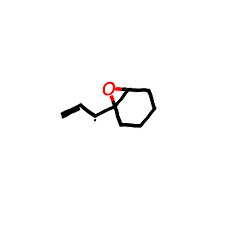 C=C[CH]C12CCCCC1O2